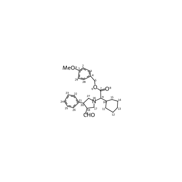 COc1ccc(COC(=O)C(C2CCCCC2)N2CC(C=O)C(c3ccccc3)C2)cc1